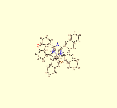 C1=C(c2nc(-c3ccc4ccccc4c3)nc(-c3cccc4oc5cccc(-c6ccc7c(c6)sc6c8ccccc8ccc76)c5c34)n2)CCc2ccccc21